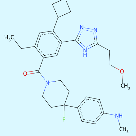 CCc1cc(C2CCC2)c(-c2nnc(CCOC)[nH]2)cc1C(=O)N1CCC(F)(c2ccc(NC)cc2)CC1